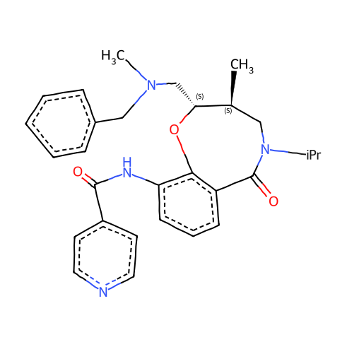 CC(C)N1C[C@H](C)[C@@H](CN(C)Cc2ccccc2)Oc2c(NC(=O)c3ccncc3)cccc2C1=O